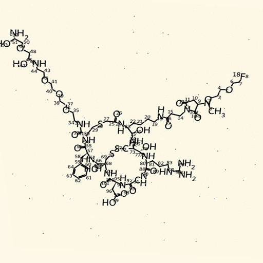 CN(OCCOCC[18F])C1CC(=O)N(CCC(=O)NCCCC[C@@H]2NC(=O)CSC[C@@H](C(=O)NCCOCCOCCOCCN[C@H](O)COC[C@@H](N)O)NC(=O)[C@H](Cc3ccccc3)N[C@@H](O)[C@@H]3CSSC[C@H](N[C@@H]2O)[C@H](O)N[C@@H](CCCNC(N)N)C(=O)NCC(=O)N[C@@H](CC(=O)O)C(=O)N3)C1=O